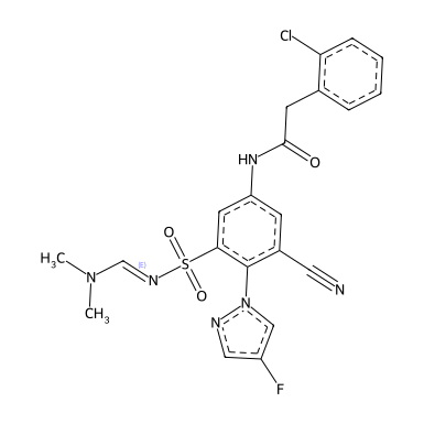 CN(C)/C=N/S(=O)(=O)c1cc(NC(=O)Cc2ccccc2Cl)cc(C#N)c1-n1cc(F)cn1